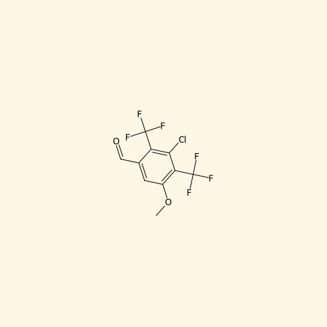 COc1cc(C=O)c(C(F)(F)F)c(Cl)c1C(F)(F)F